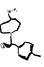 Cc1ccc(C(=O)N2CCC(N)CC2)cc1